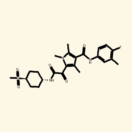 Cc1cc(NC(=O)c2c(C)c(C(=O)C(=O)N[C@H]3CC[C@H](S(C)(=O)=O)CC3)n(C)c2C)ccc1F